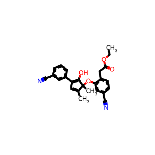 CCOC(=O)Cc1ccc(C#N)cc1OC1(C)C(C)=CC(c2cccc(C#N)c2)=C1O